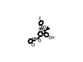 O=C(NCc1ccccc1Cl)c1ccc2c(c1)C1(CCC(O)CC1)C(C1CC1)N2S(=O)(=O)c1ccc(F)cc1